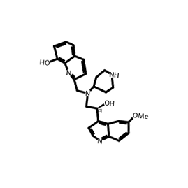 COc1ccc2nccc([C@H](O)CN(Cc3ccc4cccc(O)c4n3)C3CCNCC3)c2c1